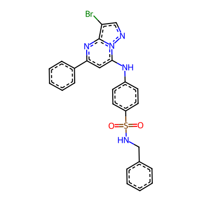 O=S(=O)(NCc1ccccc1)c1ccc(Nc2cc(-c3ccccc3)nc3c(Br)cnn23)cc1